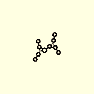 C1=CC(c2ccc3c(c2)c2cc(-c4ccccc4)ccc2n3-c2ccc(-c3ccccc3)cc2)=Cc2c(n(-c3ccc(-c4ccccc4)cc3)c3ccc(-c4ccccc4)cc23)C1